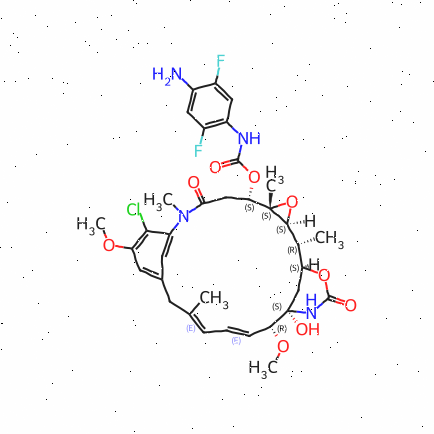 COc1cc2cc(c1Cl)N(C)C(=O)C[C@H](OC(=O)Nc1cc(F)c(N)cc1F)[C@]1(C)O[C@H]1[C@H](C)[C@@H]1C[C@@](O)(NC(=O)O1)[C@H](OC)/C=C/C=C(\C)C2